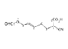 N#CC(CCC=CCOC=O)C(=O)O